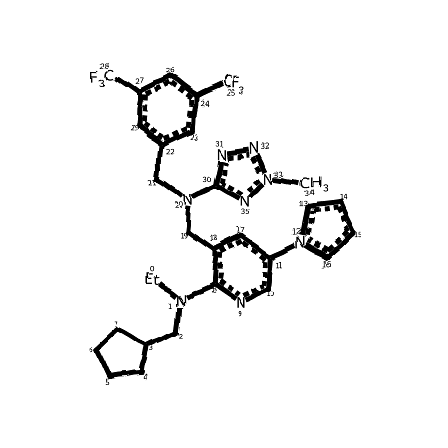 CCN(CC1CCCC1)c1ncc(-n2cccc2)cc1CN(Cc1cc(C(F)(F)F)cc(C(F)(F)F)c1)c1nnn(C)n1